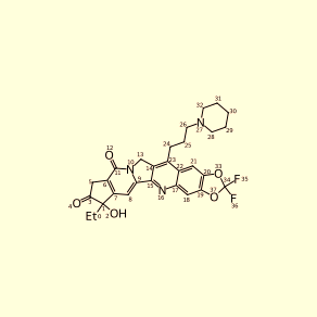 CCC1(O)C(=O)Cc2c1cc1n(c2=O)Cc2c-1nc1cc3c(cc1c2CCCN1CCCCC1)OC(F)(F)O3